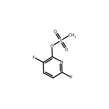 CS(=O)(=O)Oc1nc(F)ccc1F